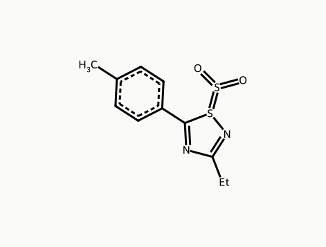 CCC1=NS(=S(=O)=O)C(c2ccc(C)cc2)=N1